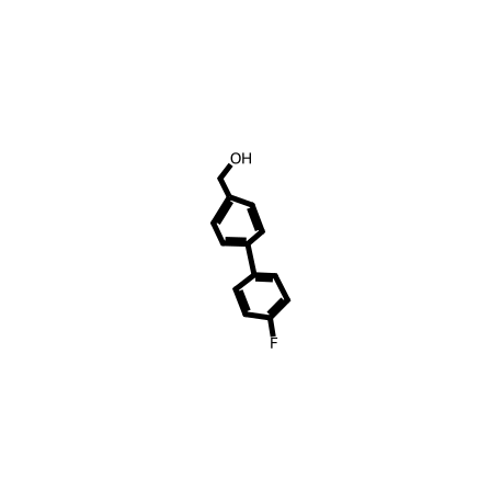 OCc1ccc(-c2ccc(F)cc2)cc1